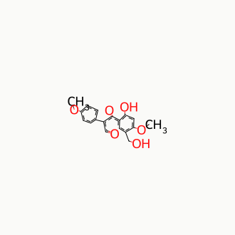 COc1ccc(-c2coc3c(CO)c(OC)cc(O)c3c2=O)cc1